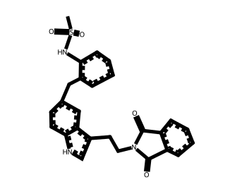 CS(=O)(=O)Nc1ccccc1Cc1ccc2[nH]cc(CCN3C(=O)c4ccccc4C3=O)c2c1